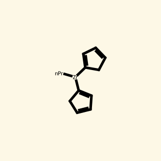 CC[CH2][Zr]([C]1=CC=CC1)[C]1=CC=CC1